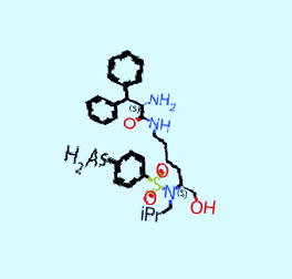 CC(C)CN([C@H](CO)CCCCNC(=O)[C@@H](N)C(c1ccccc1)c1ccccc1)S(=O)(=O)c1ccc([AsH2])cc1